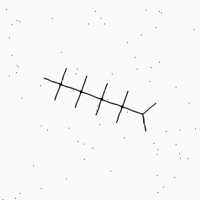 CCCC(F)C(F)(F)C(F)(F)C(F)(F)C(F)(F)C(F)(F)F